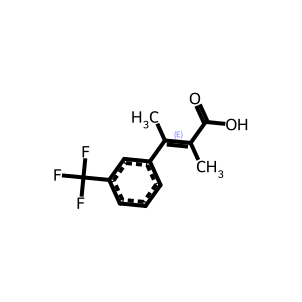 C/C(C(=O)O)=C(/C)c1cccc(C(F)(F)F)c1